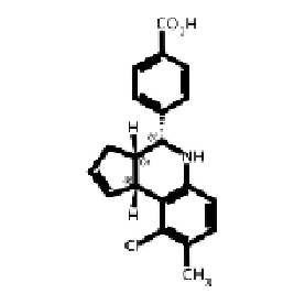 Cc1ccc2c(c1Cl)[C@@H]1C=CC[C@@H]1[C@H](c1ccc(C(=O)O)cc1)N2